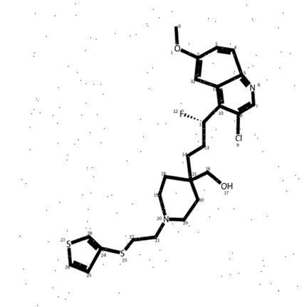 COc1ccc2ncc(Cl)c([C@@H](F)CCC3(CO)CCN(CCSc4ccsc4)CC3)c2c1